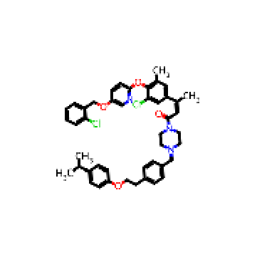 CC(=CC(=O)N1CCN(Cc2ccc(CCOc3ccc(C(C)C)cc3)cc2)CC1)c1cc(C)c(Oc2ccc(OCc3ccccc3Cl)cn2)c(Cl)c1